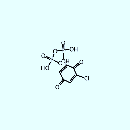 O=C1C=CC(=O)C(Cl)=C1.O=P(O)(O)OP(=O)(O)O